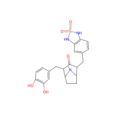 CN1C2CCC1C(Cc1ccc3c(c1)NS(=O)(=O)N3)C(=O)C2Cc1ccc(O)c(O)c1